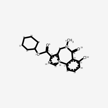 CN1Cc2c(C(=O)OC3CCCCC3)ncn2-c2cccc(Cl)c2C1=O